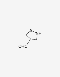 O=CC1CNSC1